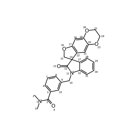 CN(C)C(=O)c1cccc(CN2C(=O)C3(COc4cc5c(cc43)OCCO5)c3ccccc32)c1